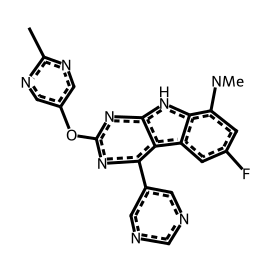 CNc1cc(F)cc2c1[nH]c1nc(Oc3cnc(C)nc3)nc(-c3cncnc3)c12